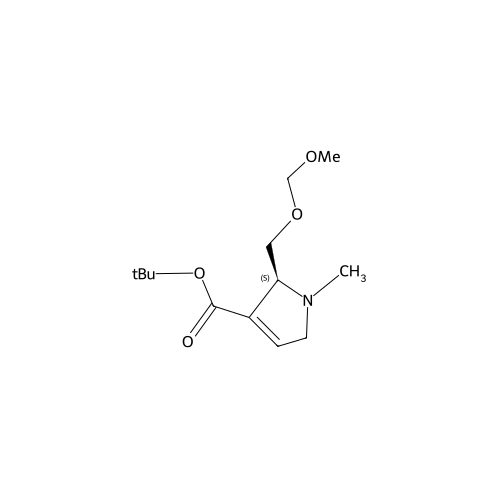 COCOC[C@@H]1C(C(=O)OC(C)(C)C)=CCN1C